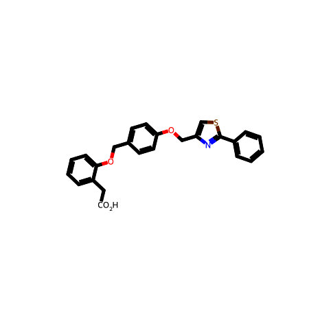 O=C(O)Cc1ccccc1OCc1ccc(OCc2csc(-c3ccccc3)n2)cc1